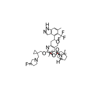 Cc1cc2[nH]ncc2c(C2Cc3nc(OCC4(CN5CC[C@@H](F)C5)CC4)nc(N4C[C@H]5CC[C@@](C)(C4)N5C(=O)OC(C)(C)C)c3CO2)c1C(F)(F)F